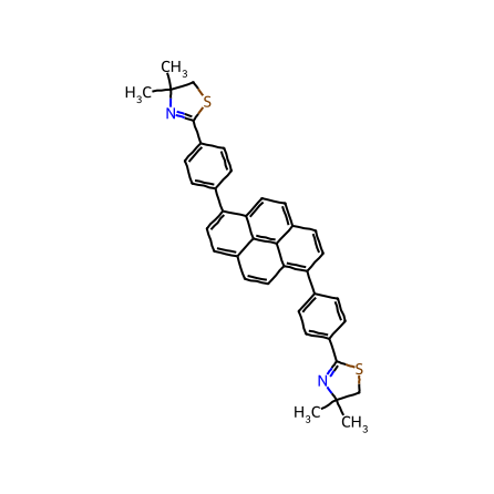 CC1(C)CSC(c2ccc(-c3ccc4ccc5c(-c6ccc(C7=NC(C)(C)CS7)cc6)ccc6ccc3c4c65)cc2)=N1